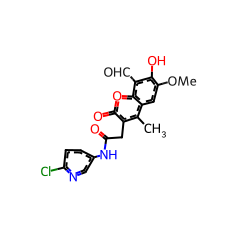 COc1cc2c(C)c(CC(=O)Nc3ccc(Cl)nc3)c(=O)oc2c(C=O)c1O